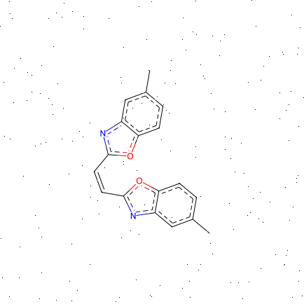 Cc1ccc2oc(/C=C\c3nc4cc(C)ccc4o3)nc2c1